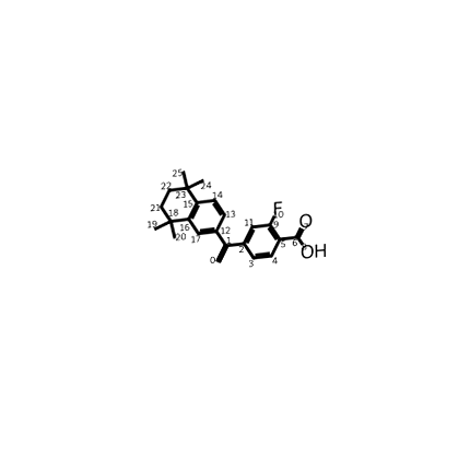 C=C(c1ccc(C(=O)O)c(F)c1)c1ccc2c(c1)C(C)(C)CCC2(C)C